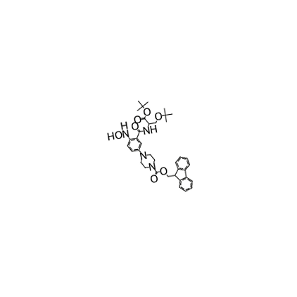 CC(C)(C)OCC(NC(=O)c1cc(N2CCN(C(=O)OCC3c4ccccc4-c4ccccc43)CC2)ccc1NO)C(=O)OC(C)(C)C